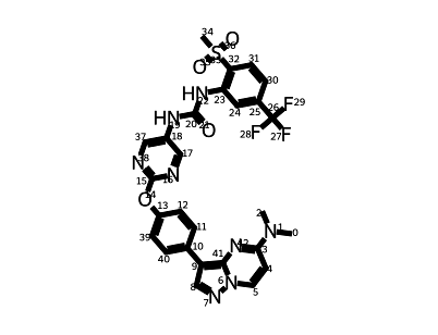 CN(C)c1ccn2ncc(-c3ccc(Oc4ncc(NC(=O)Nc5cc(C(F)(F)F)ccc5S(C)(=O)=O)cn4)cc3)c2n1